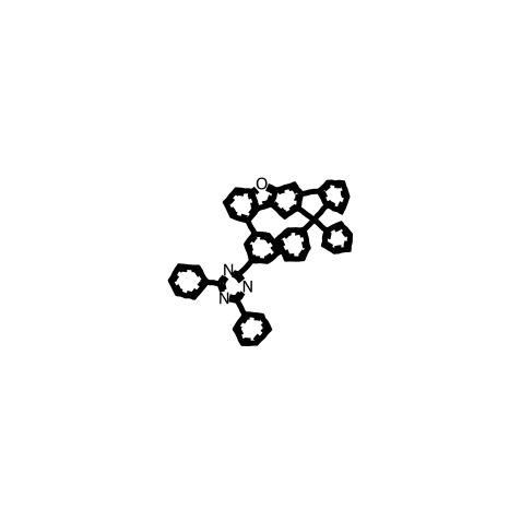 c1ccc(-c2nc(-c3ccccc3)nc(-c3cccc(-c4cccc5oc6cc7c(cc6c45)C(c4ccccc4)(c4ccccc4)c4ccccc4-7)c3)n2)cc1